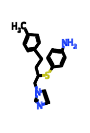 Cc1ccc(CCC(Cn2ccnc2)Sc2ccc(N)cc2)cc1